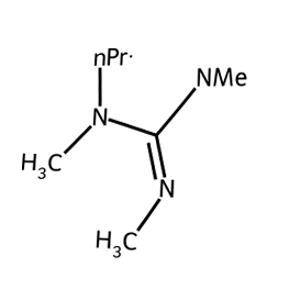 CC[CH]N(C)/C(=N\C)NC